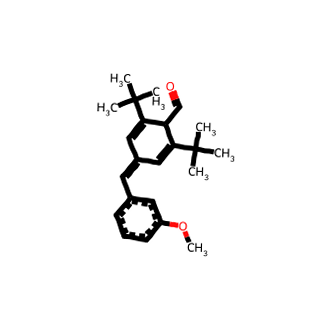 COc1cccc(C=C2C=C(C(C)(C)C)C(C=O)C(C(C)(C)C)=C2)c1